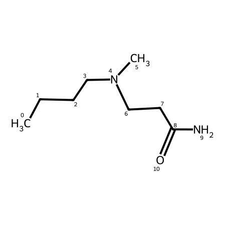 CCCCN(C)CCC(N)=O